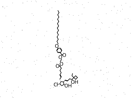 CCCCCCCCCCCCCCCCOc1ccc(C(=O)OCCOC(=O)CCCC=CC[C@@H]2[C@@H](C=CC[C@H](O)C3(CC)CCC3)[C@H](O)C[C@H]2Cl)cc1